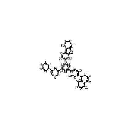 c1ccc(-c2cccc(-c3nc(-c4ccc(-c5cccc6ccccc56)cc4)nc(-c4ccc5c(c4)sc4ccccc45)n3)c2)cc1